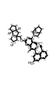 C#Cc1cccc2cc(O)cc(-c3ncc4c(N5CC6CCC(C5)N6)nc(OCC56C[C@H](F)CN5[C@H]5CCC[C@H]5C6)nc4c3F)c12